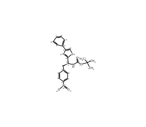 CC(C)(C)OC(=O)N[C@@H](Cc1ccc([N+](=O)[O-])cc1)c1nc(-c2ccccc2)cs1